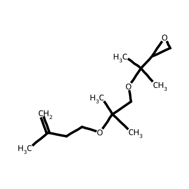 C=C(C)CCOC(C)(C)COC(C)(C)C1CO1